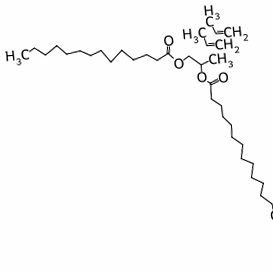 C=CC.C=CC.CCCCCCCCCCCCCC(=O)OCC(C)OC(=O)CCCCCCCCCCCCC